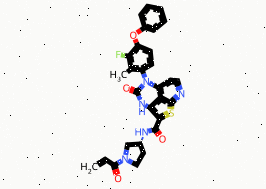 C=CC(=O)N1CC[C@@H](NC(=O)c2sc3nccc4c3c2NC(=O)N4c2ccc(Oc3ccccc3)c(F)c2C)C1